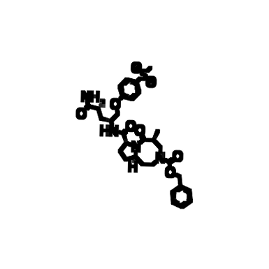 C[C@H]1CN(C(=O)OCc2ccccc2)CC[C@H]2CC[C@@H](C(=O)N[C@@H](CCC(N)=O)COc3ccc(S(C)(=O)=O)cc3)N2C1=O